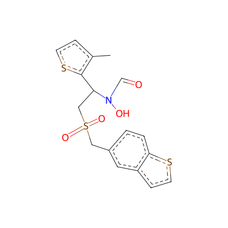 Cc1ccsc1C(CS(=O)(=O)Cc1ccc2sccc2c1)N(O)C=O